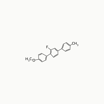 COc1ccc(-c2ccc(-c3ccc(C)cc3)cc2F)cc1